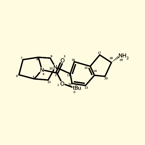 CC(C)(C)OC(=O)N1C2CCC1CN(c1ccc3c(c1)C[C@H](N)C3)C2